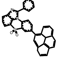 O=S1(=O)c2cc(C3=C4C=CC=C5C=CC6=C(C(=C3)CC=C6)C54)ccc2-n2c(-c3ccccc3)nc3cccc1c32